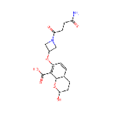 NC(=O)CCC(=O)N1CC(OC2=C(C(=O)O)C3OB(O)CCC3C=C2)C1